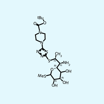 CSC1O[C@H]([C@H](N)[C@H](C)Sc2nnc(N3CCN(C(=O)OC(C)(C)C)CC3)s2)C(O)[C@@H](O)[C@H]1O